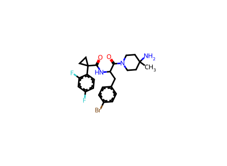 CC1(N)CCN(C(=O)C(Cc2ccc(Br)cc2)NC(=O)C2(c3ccc(F)cc3F)CC2)CC1